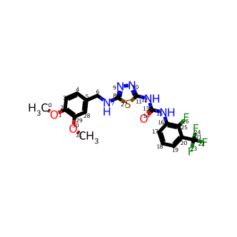 COc1ccc(CNc2nnc(NC(=O)Nc3cccc(C(F)(F)F)c3F)s2)cc1OC